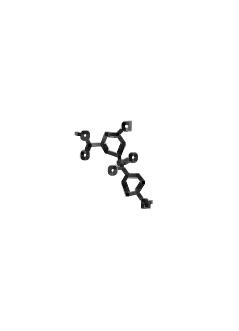 COC(=O)c1cc(Cl)cc(S(=O)(=O)c2ccc(Br)cc2)c1